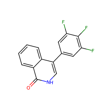 O=c1[nH]cc(-c2cc(F)c(F)c(F)c2)c2ccccc12